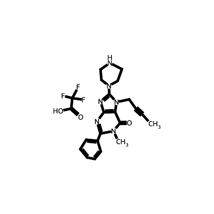 CC#CCn1c(N2CCNCC2)nc2nc(-c3ccccc3)n(C)c(=O)c21.O=C(O)C(F)(F)F